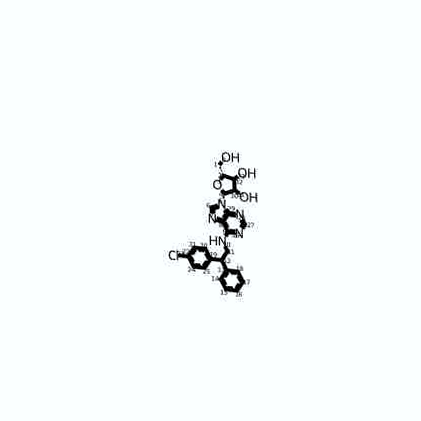 OC[C@H]1O[C@@H](n2cnc3c(NCC(c4ccccc4)c4ccc(Cl)cc4)ncnc32)C(O)C1O